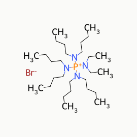 CCCCN(CCCC)[P+](N(CC)CC)(N(CCCC)CCCC)N(CCCC)CCCC.[Br-]